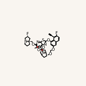 C#Cc1c(F)ccc2cc(OCOC)cc(Oc3nc4c(N5CC6CCC(C5)N6C(=O)OC(C)(C)C)nc(OC[C@@]56CCCN5C[C@H](F)C6)nc4s3)c12